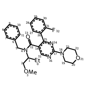 CCC(COC)N(Cc1ccccc1)C(=O)c1cnc(N2CCOCC2)nc1-c1ccccc1F